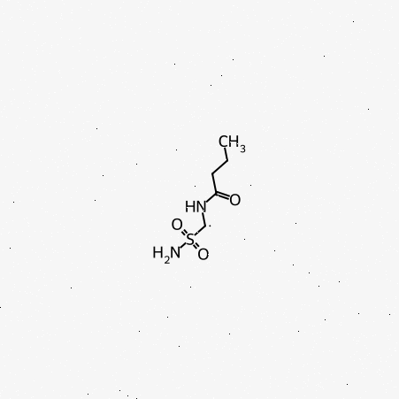 CCCC(=O)N[CH]S(N)(=O)=O